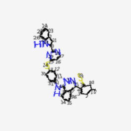 CC1=CC=C(c2nnc(Nc3ccc(Sc4ccnc(-c5cc6ccccc6[nH]5)n4)cc3)c3ccccc23)C(=S)C1